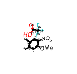 COc1cc(C)c(C)cc1[N+](=O)[O-].O=C(O)C(F)(F)F